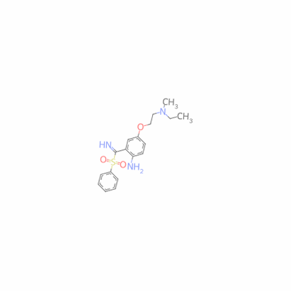 CCN(C)CCOc1ccc(N)c(C(=N)S(=O)(=O)c2ccccc2)c1